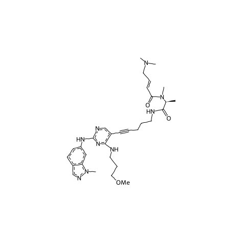 COCCCNc1nc(Nc2ccc3cnn(C)c3c2)ncc1C#CCCCNC(=O)[C@H](C)N(C)C(=O)/C=C/CN(C)C